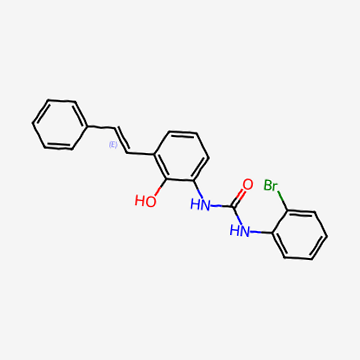 O=C(Nc1ccccc1Br)Nc1cccc(/C=C/c2ccccc2)c1O